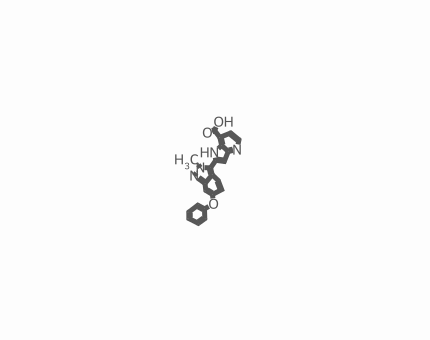 Cn1nc2cc(Oc3ccccc3)ccc2c1-c1cc2nccc(C(=O)O)c2[nH]1